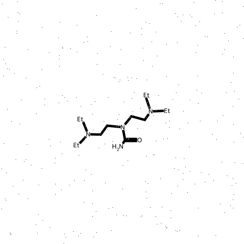 CCN(CC)CCN(CCN(CC)CC)C(N)=O